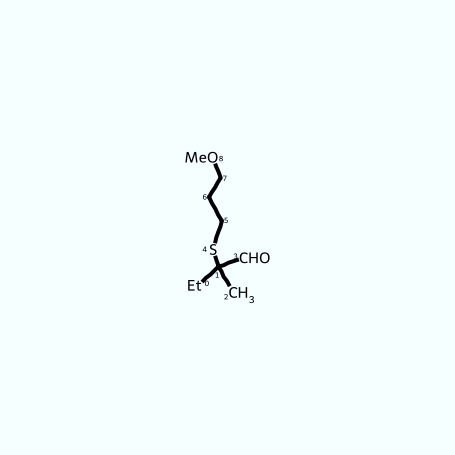 CCC(C)(C=O)SCCCOC